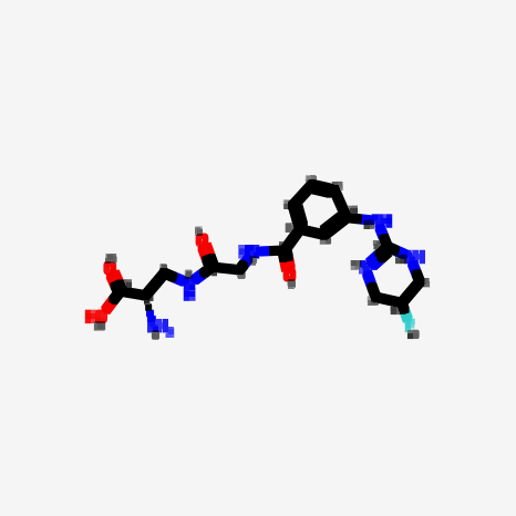 N[C@@H](CNC(=O)CNC(=O)c1cccc(NC2=NCC(F)CN2)c1)C(=O)O